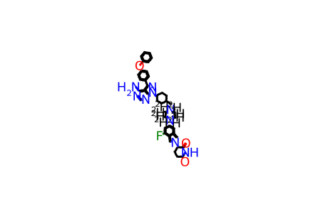 [2H]C1([2H])N(CC2CCC(n3nc(-c4ccc(Oc5ccccc5)cc4)c4c(N)ncnc43)CC2)C([2H])([2H])C([2H])([2H])N(c2cc(F)c3cn(C4CCC(=O)NC4=O)cc3c2)C1([2H])[2H]